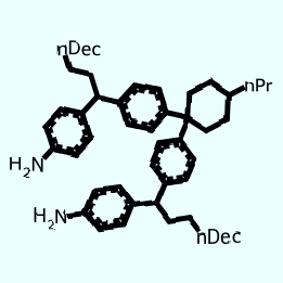 CCCCCCCCCCCCC(c1ccc(N)cc1)c1ccc(C2(c3ccc(C(CCCCCCCCCCCC)c4ccc(N)cc4)cc3)CCC(CCC)CC2)cc1